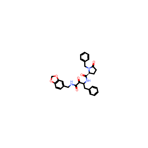 O=C(NCc1ccc2c(c1)OCO2)C(=O)C(Cc1ccccc1)NC(=O)[C@@H]1CCC(=O)N1Cc1ccccc1